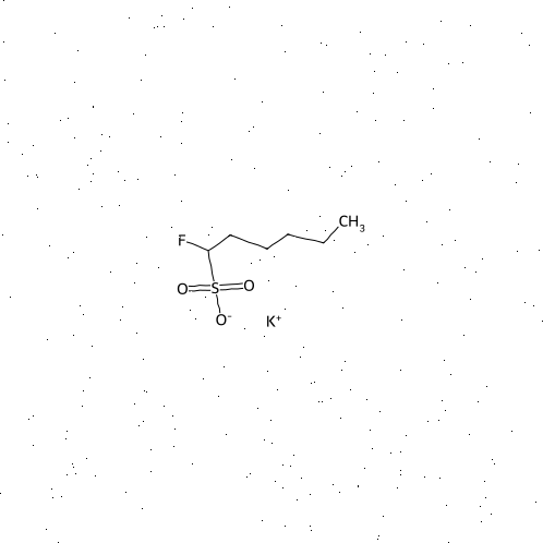 CCCCCC(F)S(=O)(=O)[O-].[K+]